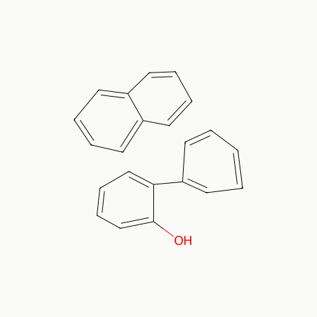 Oc1ccccc1-c1ccccc1.c1ccc2ccccc2c1